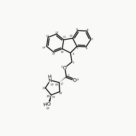 O=C(OCC1c2ccccc2-c2ccccc21)[C@@H]1C[C@@H](O)CN1